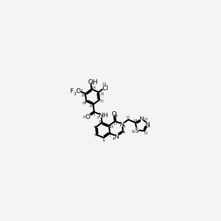 O=C(Nc1cccc2ncn(Cc3nncs3)c(=O)c12)c1cc(Cl)c(O)c(C(F)(F)F)c1